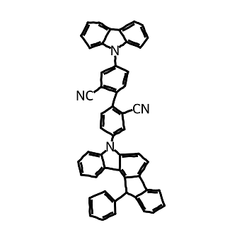 N#Cc1cc(-n2c3ccccc3c3ccccc32)ccc1-c1ccc(-n2c3ccccc3c3c4c(ccc32)-c2ccccc2C4c2ccccc2)cc1C#N